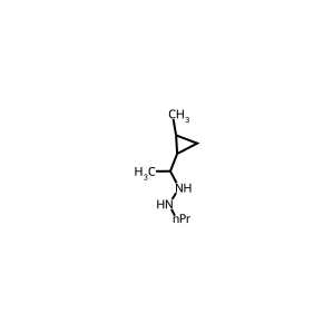 CCCNNC(C)C1CC1C